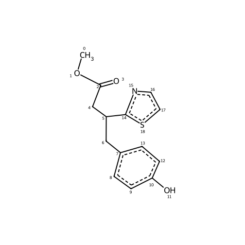 COC(=O)CC(Cc1ccc(O)cc1)c1nccs1